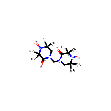 CC1(C)CN(CN2CC(C)(C)N(O)C(C)(C)C2=O)C(=O)C(C)(C)N1O